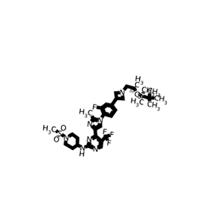 Cc1nc(-c2nc(NC3CCN(S(C)(=O)=O)CC3)ncc2C(F)(F)F)cn1-c1ccc(C2CN(C[C@H](C)O[Si](C)(C)C(C)(C)C)C2)cc1F